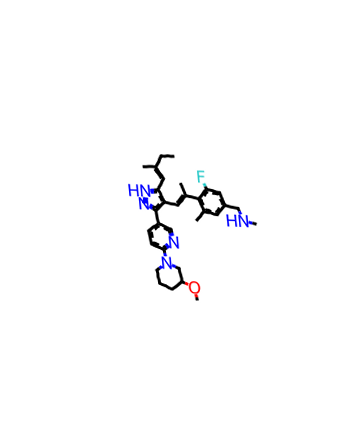 CC/C(C)=C/c1[nH]nc(-c2ccc(N3CCCC(OC)C3)nc2)c1/C=C(\C)c1c(C)cc(CNC)cc1F